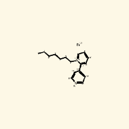 CCCCCCC[n+]1ccccc1-c1ccncc1.[Br-]